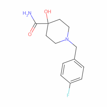 NC(=O)C1(O)CCN(Cc2ccc(F)cc2)CC1